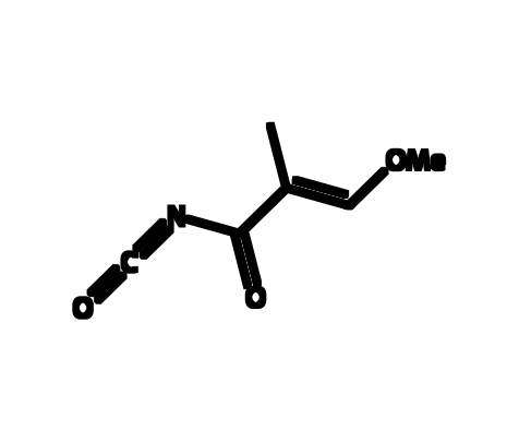 CO/C=C(\C)C(=O)N=C=O